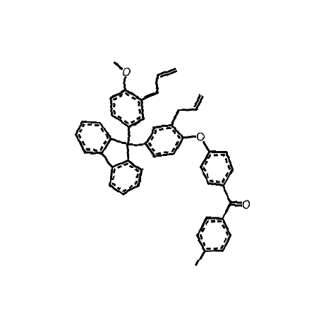 C=CCc1cc(C2(c3ccc(Oc4ccc(C(=O)c5ccc(C)cc5)cc4)c(CC=C)c3)c3ccccc3-c3ccccc32)ccc1OC